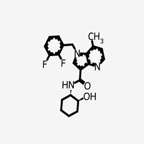 Cc1ccnc2c(C(=O)N[C@H]3CCCC[C@@H]3O)cn(Cc3cccc(F)c3F)c12